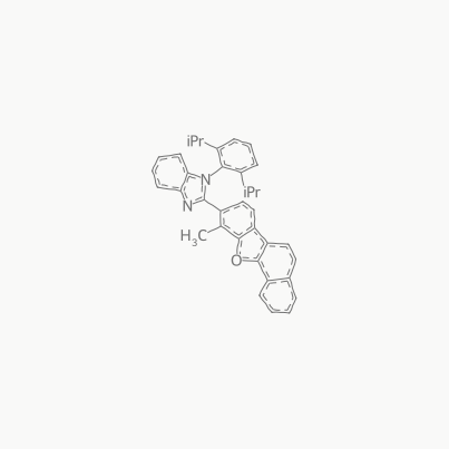 Cc1c(-c2nc3ccccc3n2-c2c(C(C)C)cccc2C(C)C)ccc2c1oc1c3ccccc3ccc21